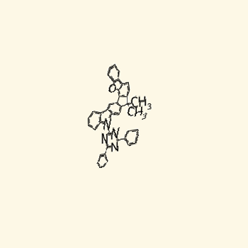 CC1(C)c2cc3c(cc2-c2c1ccc1c2oc2ccccc21)c1ccccc1n3-c1nc(-c2ccccc2)nc(-c2ccccc2)n1